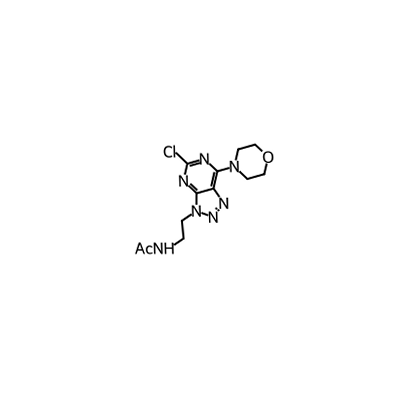 CC(=O)NCCn1nnc2c(N3CCOCC3)nc(Cl)nc21